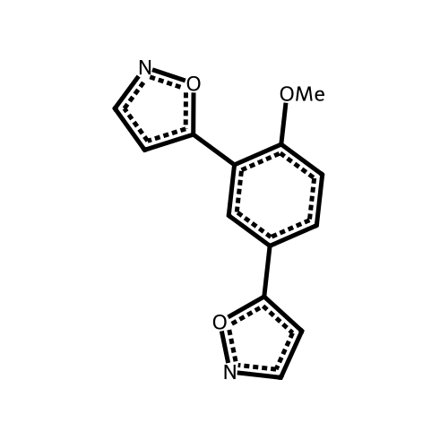 COc1ccc(-c2ccno2)cc1-c1ccno1